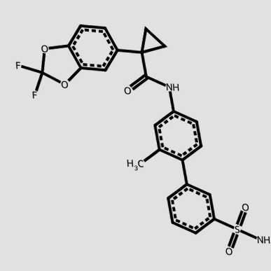 Cc1cc(NC(=O)C2(c3ccc4c(c3)OC(F)(F)O4)CC2)ccc1-c1cccc(S(N)(=O)=O)c1